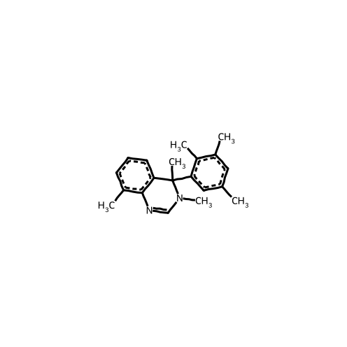 Cc1cc(C)c(C)c(C2(C)c3cccc(C)c3N=CN2C)c1